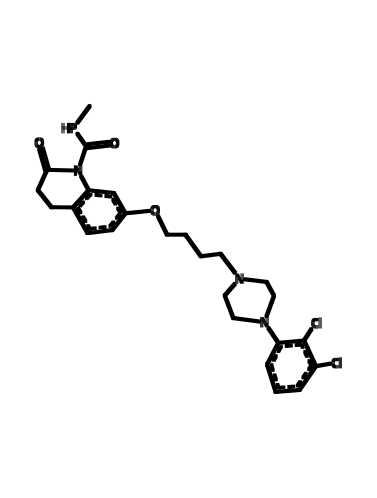 CPC(=O)N1C(=O)CCc2ccc(OCCCCN3CCN(c4cccc(Cl)c4Cl)CC3)cc21